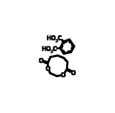 O=C(O)c1ccccc1C(=O)O.O=C1CCCCC(=O)OCCO1